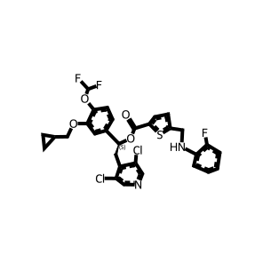 O=C(O[C@@H](Cc1c(Cl)cncc1Cl)c1ccc(OC(F)F)c(OCC2CC2)c1)c1ccc(CNc2ccccc2F)s1